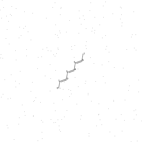 [CH2]/C=C/C=C/C=C/C